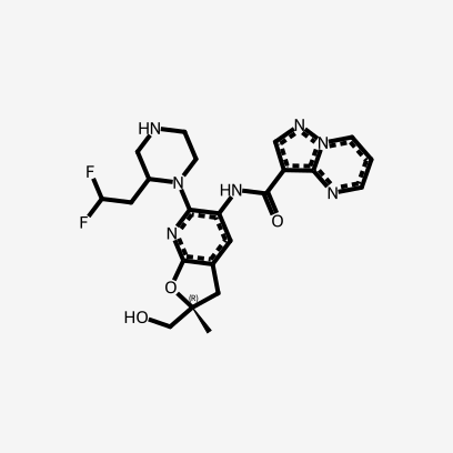 C[C@]1(CO)Cc2cc(NC(=O)c3cnn4cccnc34)c(N3CCNCC3CC(F)F)nc2O1